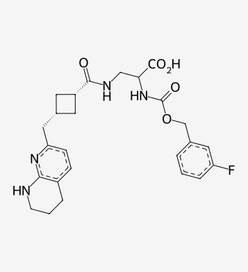 O=C(NC(CNC(=O)[C@H]1C[C@@H](Cc2ccc3c(n2)NCCC3)C1)C(=O)O)OCc1cccc(F)c1